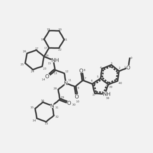 COc1ccc2c(C(=O)C(=O)N(CC(=O)NC3(C4CCCCC4)CCCCC3)CC(=O)N3CCCCC3)c[nH]c2c1